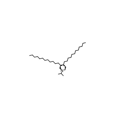 CCCCCCCCCCCCc1cc[n+](C(C)C)cc1CCCCCCCCCCCC